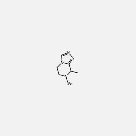 CC(C)N1CCn2cnnc2C1C